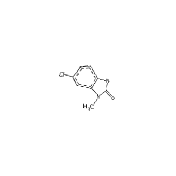 CN1C(=O)[N]c2ccc(Cl)cc21